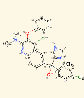 CN(C)c1nc2ccc(C(O)(c3ccc(Cl)cc3)c3cncn3C)cc2c(Cl)c1Oc1ccccc1